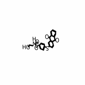 O=C1c2ccccc2C(=O)c2cc(Sc3ccc(S(=O)(=O)NCCO)cc3)ccc21